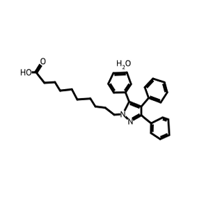 O.O=C(O)CCCCCCCCCn1nc(-c2ccccc2)c(-c2ccccc2)c1-c1ccccc1